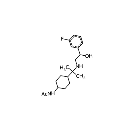 CC(=O)NC1CCC(C(C)(C)NC[C@H](O)c2cccc(F)c2)CC1